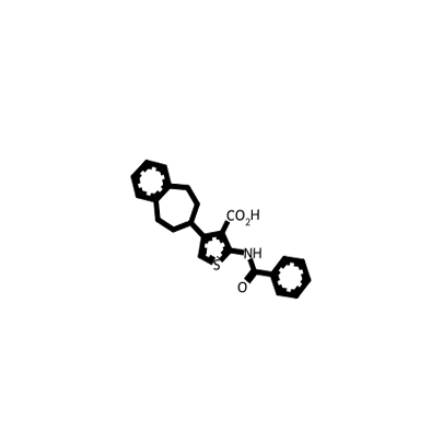 O=C(Nc1scc(C2CCc3ccccc3CC2)c1C(=O)O)c1ccccc1